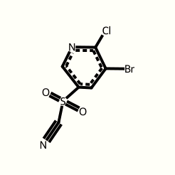 N#CS(=O)(=O)c1cnc(Cl)c(Br)c1